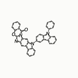 O=c1c2ccccc2oc2nc3cc4c5ccccc5n(-c5ccc6c(c5)c5ccccc5n6-c5ccccc5)c4cc3n12